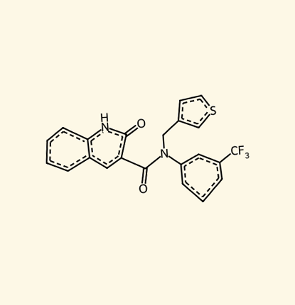 O=C(c1cc2ccccc2[nH]c1=O)N(Cc1ccsc1)c1cccc(C(F)(F)F)c1